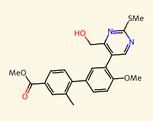 COC(=O)c1ccc(-c2ccc(OC)c(-c3cnc(SC)nc3CO)c2)c(C)c1